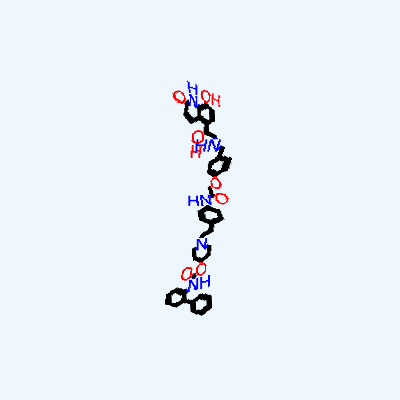 O=C(COc1ccc(CNC[C@@H](O)c2ccc(O)c3[nH]c(=O)ccc23)cc1)Nc1ccc(CCN2CCC(OC(=O)Nc3ccccc3-c3ccccc3)CC2)cc1